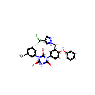 Cc1cccc(-n2c(=O)[nH]c(=O)n(-c3ccc(Oc4ccccc4)c(Cn4cc(C(F)F)cn4)c3)c2=O)c1